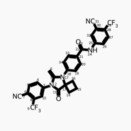 C=C1N(c2ccc(C#N)c(C(F)(F)F)c2)C(=O)C2(CCC2)N1c1ccc(C(=O)Nc2ccc(C(F)(F)F)c(C#N)c2)cc1